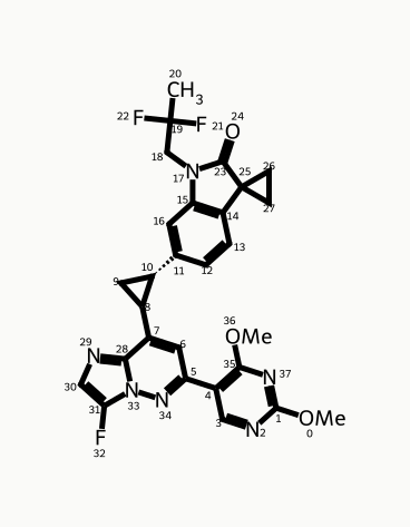 COc1ncc(-c2cc(C3C[C@@H]3c3ccc4c(c3)N(CC(C)(F)F)C(=O)C43CC3)c3ncc(F)n3n2)c(OC)n1